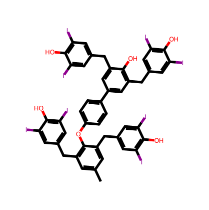 Cc1cc(Cc2cc(I)c(O)c(I)c2)c(Oc2ccc(-c3cc(Cc4cc(I)c(O)c(I)c4)c(O)c(Cc4cc(I)c(O)c(I)c4)c3)cc2)c(Cc2cc(I)c(O)c(I)c2)c1